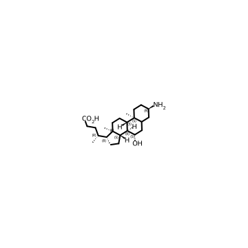 C[C@H](CCC(=O)O)[C@H]1CC[C@H]2[C@@H]3[C@@H](O)CC4C[C@H](N)CC[C@]4(C)[C@H]3CC[C@]12C